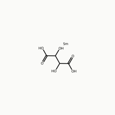 O=C(O)C(O)C(O)C(=O)O.[Sm]